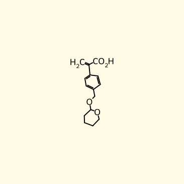 C=C(C(=O)O)c1ccc(COC2CCCCO2)cc1